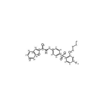 CCCCOc1cc(F)ccc1S(=O)(=O)c1ccc(CNC(=O)c2cc3ccncc3o2)cc1